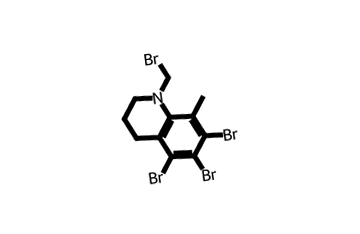 Cc1c(Br)c(Br)c(Br)c2c1N(CBr)CCC2